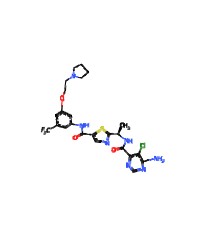 C[C@@H](NC(=O)c1ncnc(N)c1Cl)c1ncc(C(=O)Nc2cc(OCCN3CCCC3)cc(C(F)(F)F)c2)s1